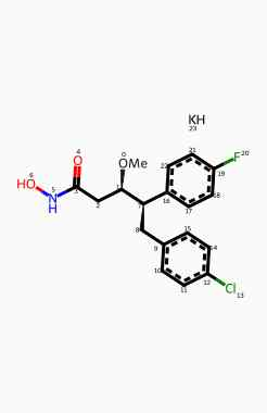 CO[C@H](CC(=O)NO)[C@H](Cc1ccc(Cl)cc1)c1ccc(F)cc1.[KH]